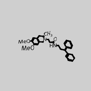 COc1cc2c(cc1OC)CN(CCC(=O)NCCC(c1ccccc1)c1ccccc1)C(C)C2